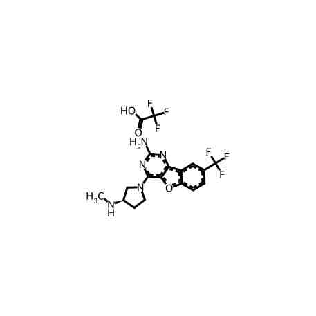 CN[C@@H]1CCN(c2nc(N)nc3c2oc2ccc(C(F)(F)F)cc23)C1.O=C(O)C(F)(F)F